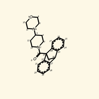 O=C(N1CCC(N2CCOCC2)CC1)C12CC(c3ccccc31)c1ccccc12